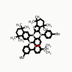 Cc1cc2c3c(c1)N(c1ccc(C(C)(C)C)cc1)c1c(sc4c1C(C)(C)CCC4(C)C)B3c1cc3c(cc1N2c1ccc(C(C)(C)C)cc1-c1ccc([SiH](C)C)cc1)C(C)(C)CCC3(C)C